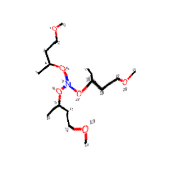 COCCC(C)ON(OC(C)CCOC)OC(C)CCOC